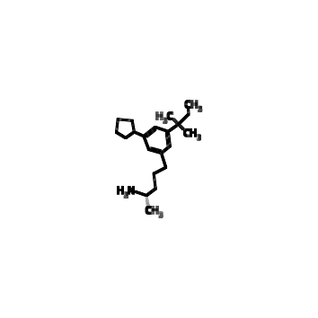 CCC(C)(C)c1cc(CCC[C@H](C)N)cc(C2CCCC2)c1